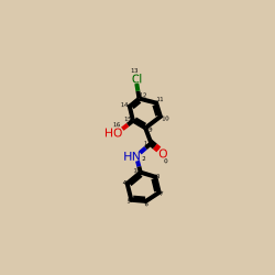 O=C(Nc1ccccc1)c1ccc(Cl)cc1O